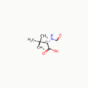 CC(C)(C)[C@H](NC=O)C(=O)O